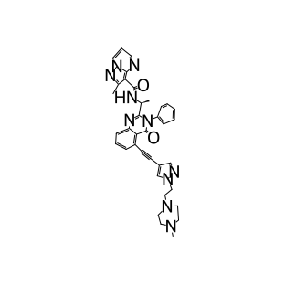 Cc1nn2cccnc2c1C(=O)N[C@@H](C)c1nc2cccc(C#Cc3cnn(CCN4CCN(C)CC4)c3)c2c(=O)n1-c1ccccc1